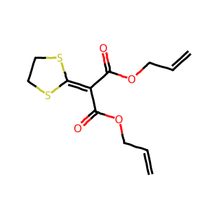 C=CCOC(=O)C(C(=O)OCC=C)=C1SCCS1